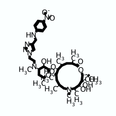 CC[C@H]1OC(=O)[C@H](C)C[C@H](C)[C@@H](O[C@@H]2O[C@H](C)C[C@H](N(C)CCn3cc(CNc4ccc([N+](=O)[O-])cc4)nn3)[C@H]2O)[C@](C)(O)C[C@@H](C)CN(C)[C@H](C)[C@@H](O)[C@]1(C)O